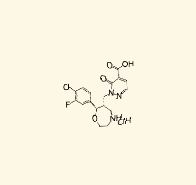 Cl.O=C(O)c1ccnn(C[C@@H]2CNCCO[C@H]2c2ccc(Cl)c(F)c2)c1=O